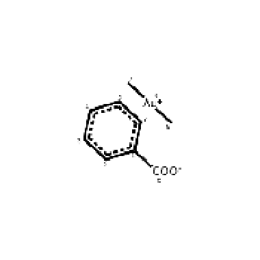 O=C([O-])c1ccccc1.[CH3][Au+][CH3]